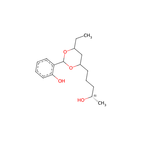 CCC1CC(CCC[C@H](C)O)OC(c2ccccc2O)O1